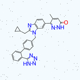 Cc1cc(=O)[nH]nc1-c1ccc2nc(CC3CC3)n(Cc3ccc(-c4ccccc4-c4nnn[nH]4)cc3)c2c1